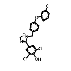 Oc1c(Cl)cc(C2=NCON2Cc2ccc(Oc3cccc(Cl)c3)cc2)cc1Cl